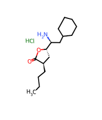 CCCC[C@@H]1C[C@@H]([C@@H](N)CC2CCCCC2)OC1=O.Cl